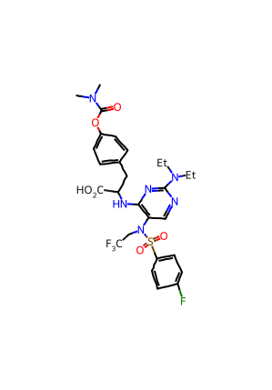 CCN(CC)c1ncc(N(CC(F)(F)F)S(=O)(=O)c2ccc(F)cc2)c(NC(Cc2ccc(OC(=O)N(C)C)cc2)C(=O)O)n1